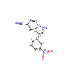 N#Cc1ccc2[nH]cc(-c3cccc([N+](=O)[O-])c3)c2c1